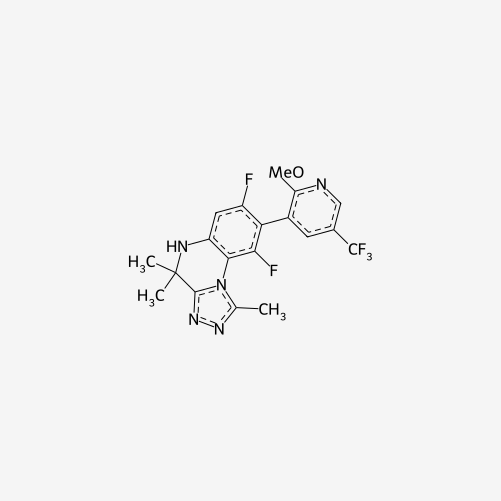 COc1ncc(C(F)(F)F)cc1-c1c(F)cc2c(c1F)-n1c(C)nnc1C(C)(C)N2